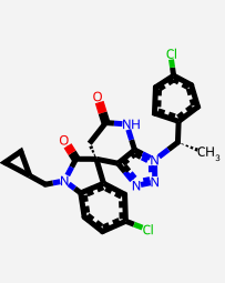 C[C@@H](c1ccc(Cl)cc1)n1nnc2c1NC(=O)C[C@]21C(=O)N(CC2CC2)c2ccc(Cl)cc21